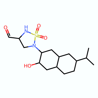 CC(C)C1CCC2CC(O)C(N3CC(C=O)NS3(=O)=O)CC2C1